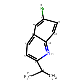 CC(c1ccc2cc(Br)ccc2n1)C(F)(F)F